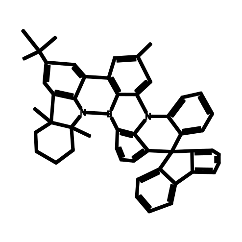 Cc1cc2c3c(c1)N1c4ccccc4C4(c5ccccc5-c5ccccc54)c4cccc(c41)B3N1c3c-2cc(C(C)(C)C)cc3C2(C)CCCCC12C